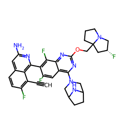 C#Cc1c(F)ccc2cc(N)nc(-c3c(F)cc4c(N5CC6CCC(C5)N6)nc(OCC56CCCN5C[C@H](F)C6)nc4c3F)c12